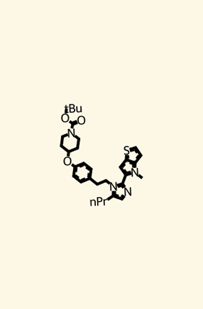 CCCc1cnc(-c2cc3sccc3n2C)n1CCc1ccc(OC2CCN(C(=O)OC(C)(C)C)CC2)cc1